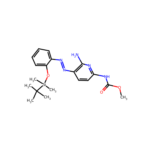 COC(=O)Nc1ccc(/N=N/c2ccccc2O[Si](C)(C)C(C)(C)C)c(N)n1